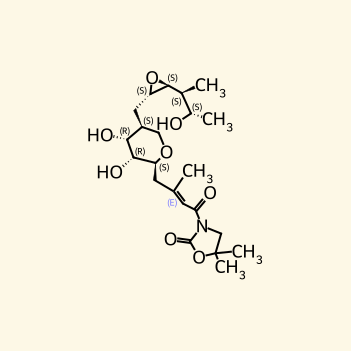 C/C(=C\C(=O)N1CC(C)(C)OC1=O)C[C@@H]1OC[C@H](C[C@@H]2O[C@H]2[C@@H](C)[C@H](C)O)[C@@H](O)[C@H]1O